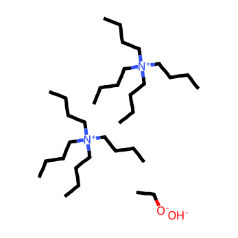 CCCC[N+](CCCC)(CCCC)CCCC.CCCC[N+](CCCC)(CCCC)CCCC.CC[O-].[OH-]